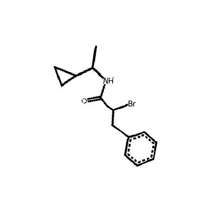 CC(NC(=O)C(Br)Cc1ccccc1)C1CC1